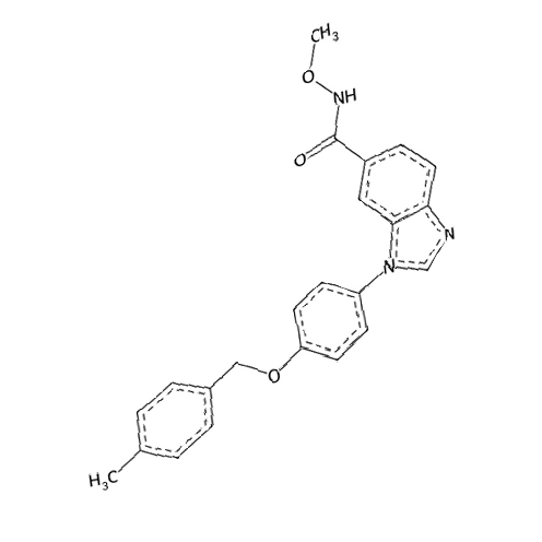 CONC(=O)c1ccc2ncn(-c3ccc(OCc4ccc(C)cc4)cc3)c2c1